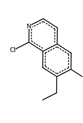 CCc1cc2ccnc(Cl)c2cc1CC